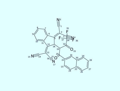 N#CC(C#N)=C1c2ccccc2C(=C(C#N)C#N)C1C(C(=O)c1ccc2ccccc2c1)C(=O)C(F)(F)F